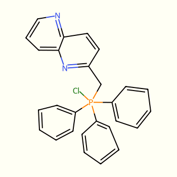 ClP(Cc1ccc2ncccc2n1)(c1ccccc1)(c1ccccc1)c1ccccc1